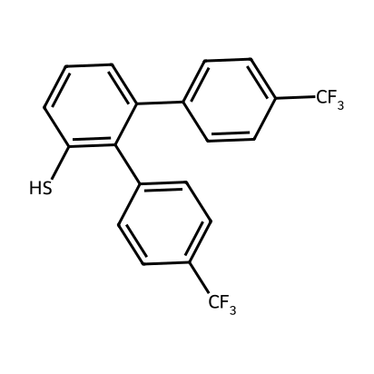 FC(F)(F)c1ccc(-c2cccc(S)c2-c2ccc(C(F)(F)F)cc2)cc1